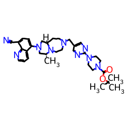 C[C@@H]1CN(c2ccc(C#N)c3ncccc23)C[C@@H]2CCN(Cc3cnc(N4CCN(C(=O)OC(C)(C)C)CC4)nc3)CCN21